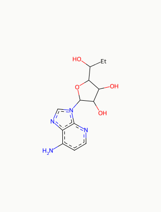 CCC(O)C1OC(n2cnc3c(N)ccnc32)C(O)C1O